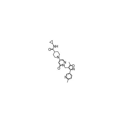 Cc1ccc(-c2noc(C)c2Cn2ncc(N3CCC(C(=O)NC4CC4)CC3)cc2=O)cn1